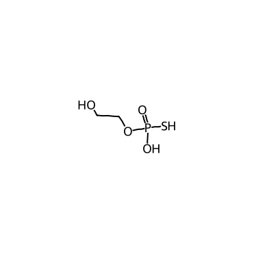 O=P(O)(S)OCCO